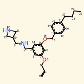 C=CCOc1cc(CNCC2CNC2)cc(OCc2ccc(CCCC)cc2)c1